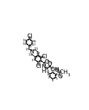 CS(=O)(=O)c1cccc(C[C@H](NC(=O)c2c(Cl)cc3c(c2Cl)CCN(Cc2ccc(Cl)cc2)C3)C(=O)O)c1